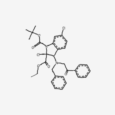 CCOC(=O)C1(Cl)C(N(CC(=O)c2ccccc2)Cc2ccccc2)c2ccc(Cl)cc2N1C(=O)OC(C)(C)C